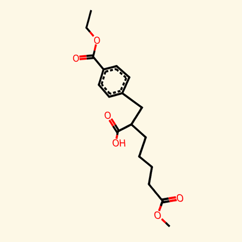 CCOC(=O)c1ccc(CC(CCCCC(=O)OC)C(=O)O)cc1